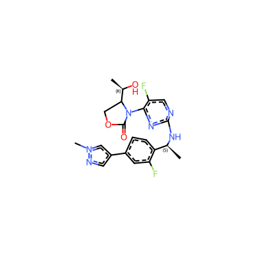 C[C@H](Nc1ncc(F)c(N2C(=O)OCC2[C@@H](C)O)n1)c1ccc(-c2cnn(C)c2)cc1F